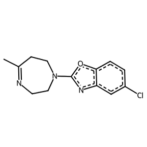 CC1=NCCN(c2nc3cc(Cl)ccc3o2)CC1